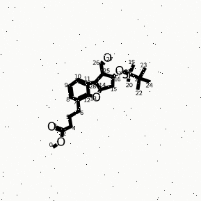 COC(=O)CCCc1cccc2c1OC1CC(O[Si](C)(C)C(C)(C)C)C(C=O)C21